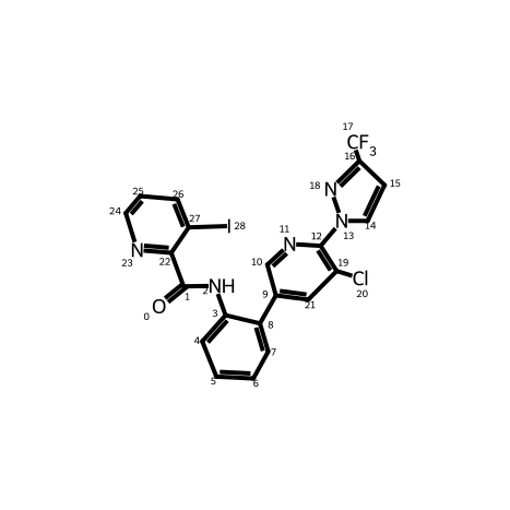 O=C(Nc1ccccc1-c1cnc(-n2ccc(C(F)(F)F)n2)c(Cl)c1)c1ncccc1I